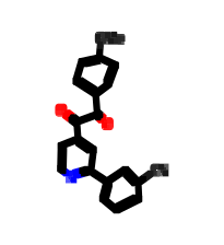 COc1ccc(C(=O)C(=O)c2ccnc(-c3cccc(C#N)c3)c2)cc1